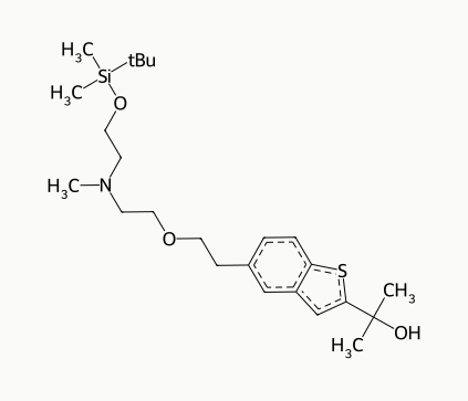 CN(CCOCCc1ccc2sc(C(C)(C)O)cc2c1)CCO[Si](C)(C)C(C)(C)C